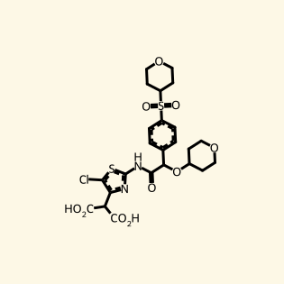 O=C(Nc1nc(C(C(=O)O)C(=O)O)c(Cl)s1)C(OC1CCOCC1)c1ccc(S(=O)(=O)C2CCOCC2)cc1